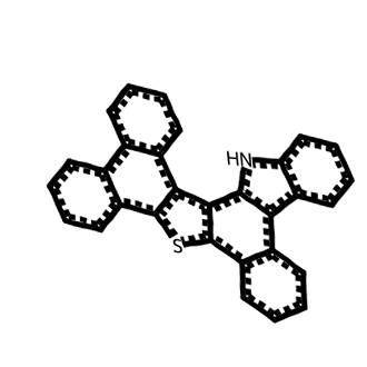 c1ccc2c(c1)[nH]c1c2c2ccccc2c2sc3c4ccccc4c4ccccc4c3c12